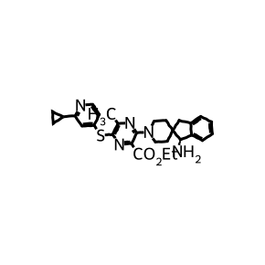 CCOC(=O)c1nc(Sc2ccnc(C3CC3)c2)c(C)nc1N1CCC2(CC1)Cc1ccccc1[C@H]2N